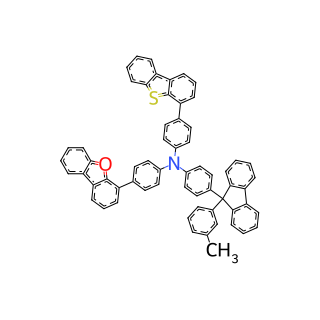 Cc1cccc(C2(c3ccc(N(c4ccc(-c5cccc6c5oc5ccccc56)cc4)c4ccc(-c5cccc6c5sc5ccccc56)cc4)cc3)c3ccccc3-c3ccccc32)c1